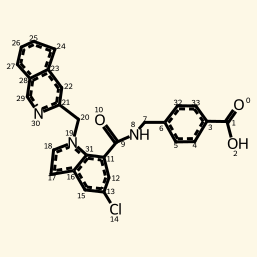 O=C(O)c1ccc(CNC(=O)c2cc(Cl)cc3ccn(Cc4cc5ccccc5cn4)c23)cc1